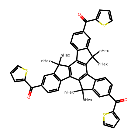 CCCCCCC1(CCCCCC)c2cc(C(=O)c3cccs3)ccc2-c2c1c1c(c3c2C(CCCCCC)(CCCCCC)c2cc(C(=O)c4cccs4)ccc2-3)C(CCCCCC)(CCCCCC)c2cc(C(=O)c3cccs3)ccc2-1